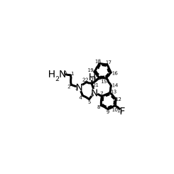 NCCN1CCN2c3ccc(F)cc3Cc3ccccc3[C@H]2C1